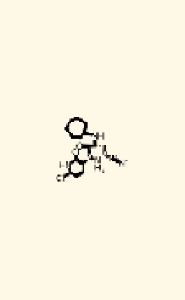 [N-]=[N+]=NC[C@@H](NC1CCCCCC1)C(=O)N(N)C1=C(Cl)NC(Cl)C=C1